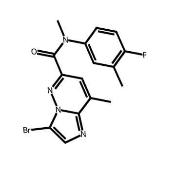 Cc1cc(N(C)C(=O)c2cc(C)c3ncc(Br)n3n2)ccc1F